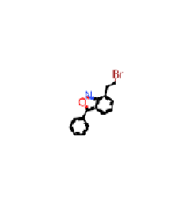 BrCCc1cccc2c(-c3ccccc3)onc12